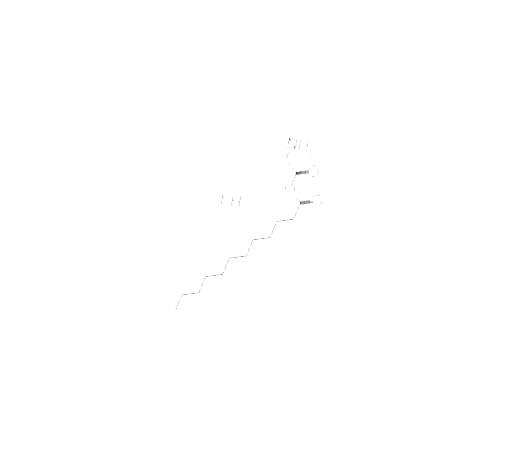 CCCCCCCCCCCC(=O)OC(=O)CN.[KH]